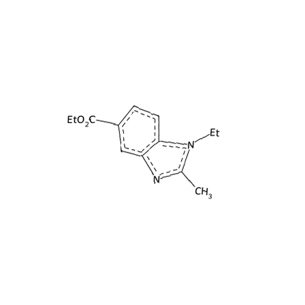 CCOC(=O)c1ccc2c(c1)nc(C)n2CC